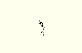 CC1OC(Cc2ccc(Cl)nc2)O1